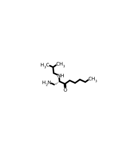 CCCCCC(=O)[C@H](CN)NCC(C)C